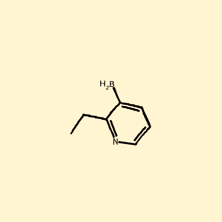 Bc1cccnc1CC